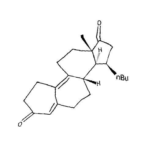 CCCC[C@@H]1CC(=O)[C@@]2(C)CCC3=C4CCC(=O)C=C4CC[C@H]3[C@H]12